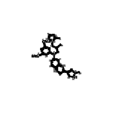 COc1cc(OC)cc(N(CC(C)Cn2ncnc2C)c2ccc3ncc(C4=CN(C)NC4)nc3c2)c1